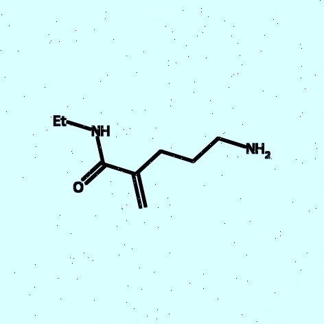 C=C(CCCN)C(=O)NCC